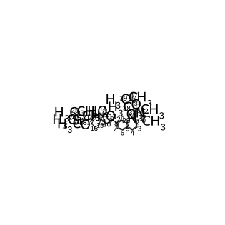 C[C@H](c1ccc2ccc(/C=C/[C@]3(C(=O)O)CC[C@@H](O[Si](C)(C)C(C)(C)C)CC3)cc2n1)N(C)C(=O)OC(C)(C)C